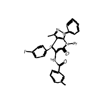 Cc1cccc(C(=O)NC2C(=O)N(C(C)C)c3c(c(C)nn3-c3ccccc3)[C@@H]2c2ccc(F)cc2)c1